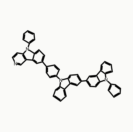 c1ccc(-n2c3ccccc3c3cc(-c4ccc5c(c4)c4ccccc4n5-c4ccc(-c5ccc6c(c5)c5cnccc5n6-c5ccccc5)cc4)ccc32)cc1